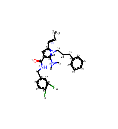 CCCC/C=C/c1cc(C(=O)NCc2ccc(F)c(F)c2)c(N(C)C)n1CCCc1ccccc1